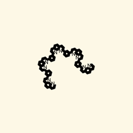 c1cc(-c2ccc3ccc4cccnc4c3n2)cc(-c2ccc3ccc4ccc(-c5cccc(-c6ccc7ccc8ccc(-c9cccc(-c%10ccc%11ccc%12ccc(-c%13cccc(-c%14ccc%15ccc%16cccnc%16c%15n%14)c%13)nc%12c%11n%10)c9)nc8c7n6)c5)nc4c3n2)c1